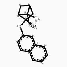 CC1(Sc2ccc3ccccc3c2)CC2CC1C2(C)C